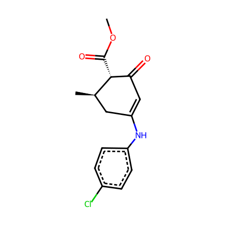 COC(=O)[C@@H]1C(=O)C=C(Nc2ccc(Cl)cc2)C[C@H]1C